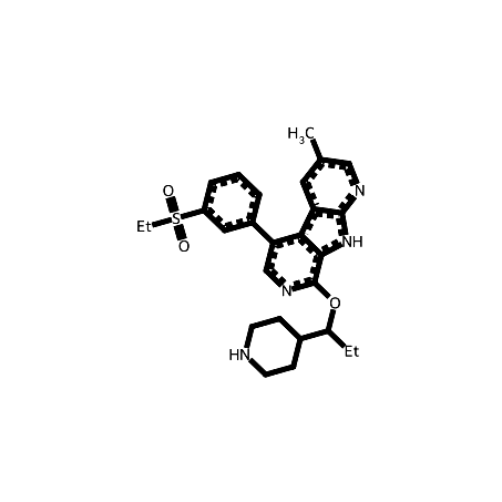 CCC(Oc1ncc(-c2cccc(S(=O)(=O)CC)c2)c2c1[nH]c1ncc(C)cc12)C1CCNCC1